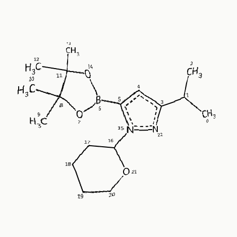 CC(C)c1cc(B2OC(C)(C)C(C)(C)O2)n(C2CCCCO2)n1